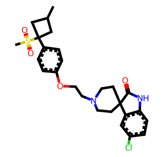 CC1CC(c2ccc(OCCN3CCC4(CC3)C(=O)Nc3ccc(Cl)cc34)cc2)(S(C)(=O)=O)C1